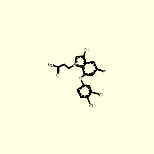 Cc1cn(CCC(=O)O)c2c(Oc3ccc(Cl)c(Cl)c3)cc(F)cc12